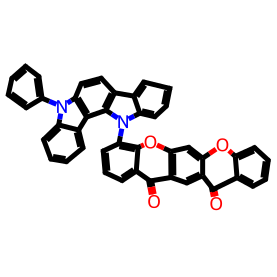 O=c1c2ccccc2oc2cc3oc4c(-n5c6ccccc6c6ccc7c(c8ccccc8n7-c7ccccc7)c65)cccc4c(=O)c3cc12